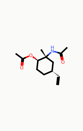 C=C[C@@H]1CC[C@@H](OC(C)=O)[C@](C)(NC(C)=O)C1